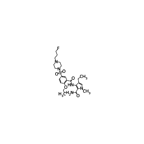 CCOc1ccc(S(=O)(=O)N2CCN(CCCF)CC2)cc1C(=O)Nc1c(CC)cn(C)c1C(N)=O